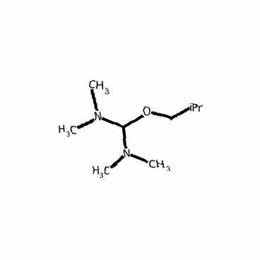 CC(C)COC(N(C)C)N(C)C